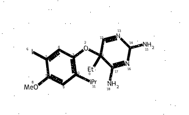 CCC1(Oc2cc(I)c(OC)cc2C(C)C)C=NC(N)N=C1N